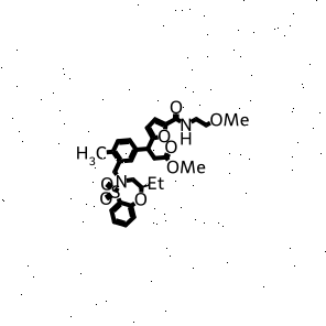 CC[C@@H]1CN(Cc2cc(C(CC(=O)OC)c3ccc(C(=O)NCCOC)o3)ccc2C)S(=O)(=O)c2ccccc2O1